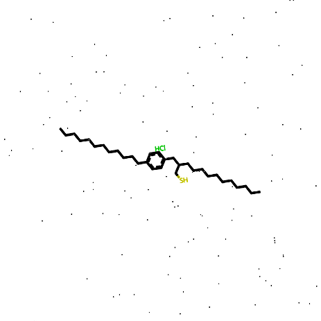 CCCCCCCCCCCCc1ccc(CC(CS)CCCCCCCCCCC)cc1.Cl